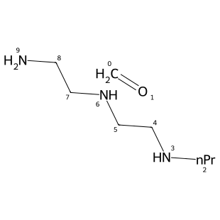 C=O.CCCNCCNCCN